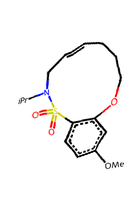 COc1ccc2c(c1)OCCCC=CCN(C(C)C)S2(=O)=O